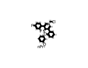 CCCOc1cccc(Oc2ccccc2-c2cn(CCl)cc(-c3ccc(F)cc3F)c2=S)c1